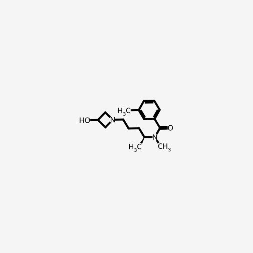 Cc1cccc(C(=O)N(C)[C@@H](C)CCCN2CC(O)C2)c1